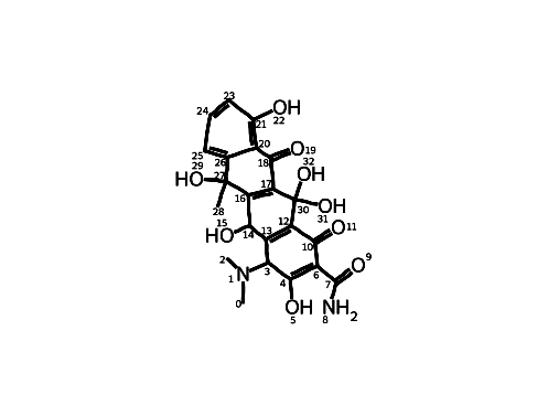 CN(C)C1C(O)=C(C(N)=O)C(=O)C2=C1C(O)C1=C(C(=O)c3c(O)cccc3C1(C)O)C2(O)O